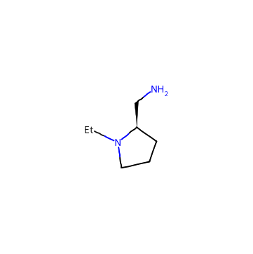 CCN1CCC[C@@H]1CN